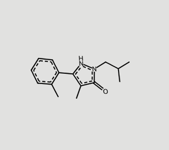 Cc1ccccc1-c1[nH]n(CC(C)C)c(=O)c1C